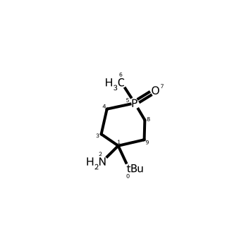 CC(C)(C)C1(N)CCP(C)(=O)CC1